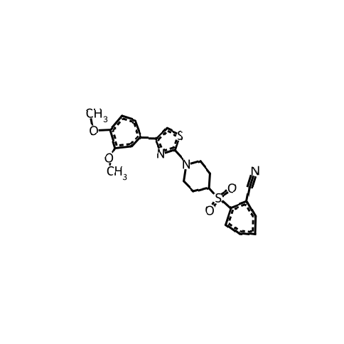 COc1ccc(-c2csc(N3CCC(S(=O)(=O)c4ccccc4C#N)CC3)n2)cc1OC